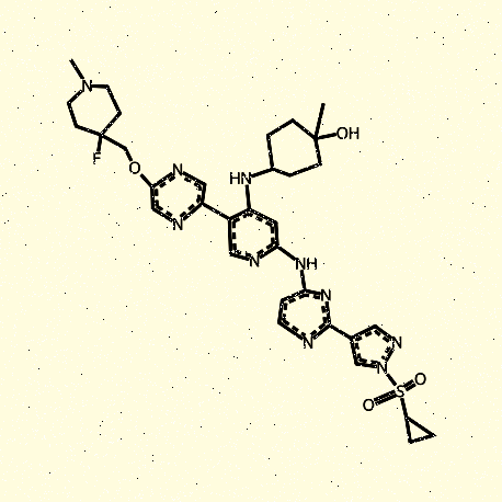 CN1CCC(F)(COc2cnc(-c3cnc(Nc4ccnc(-c5cnn(S(=O)(=O)C6CC6)c5)n4)cc3NC3CCC(C)(O)CC3)cn2)CC1